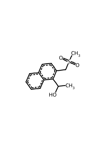 CC(O)c1c(CS(C)(=O)=O)ccc2ccccc12